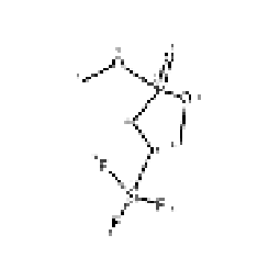 COP(=O)(CC[Si](F)(F)F)OC